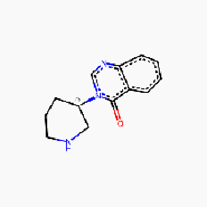 O=c1c2ccccc2ncn1[C@@H]1CCCNC1